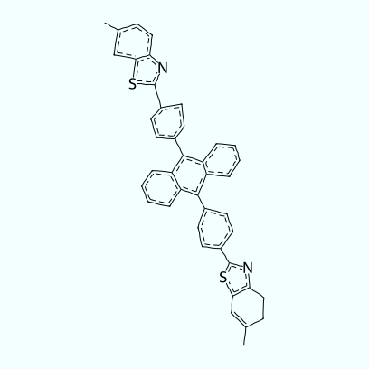 CC1=Cc2sc(-c3ccc(-c4c5ccccc5c(-c5ccc(-c6nc7ccc(C)cc7s6)cc5)c5ccccc45)cc3)nc2CC1